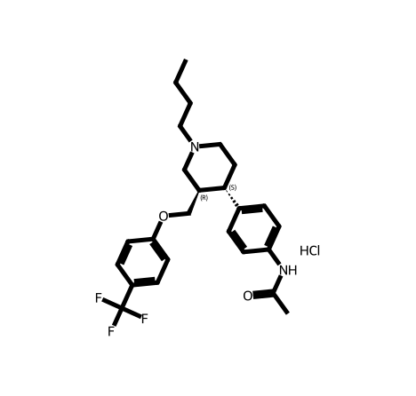 CCCCN1CC[C@H](c2ccc(NC(C)=O)cc2)[C@@H](COc2ccc(C(F)(F)F)cc2)C1.Cl